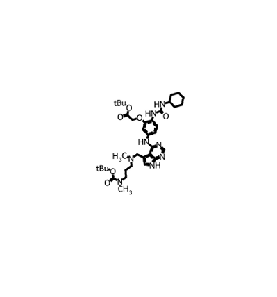 CN(CCCN(C)C(=O)OC(C)(C)C)Cc1c[nH]c2ncnc(Nc3ccc(NC(=O)NC4CCCCC4)c(OCC(=O)OC(C)(C)C)c3)c12